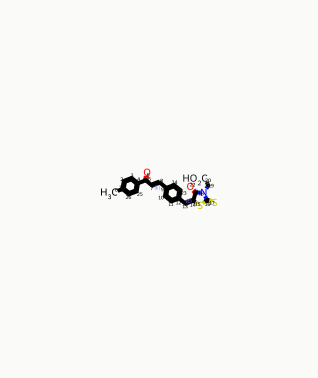 Cc1ccc(C(=O)/C=C/c2ccc(/C=C3/SC(=S)N(CC(=O)O)C3=O)cc2)cc1